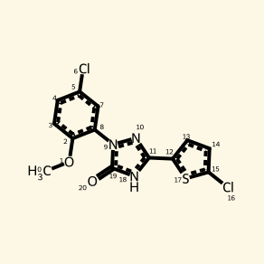 COc1ccc(Cl)cc1-n1nc(-c2ccc(Cl)s2)[nH]c1=O